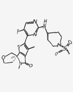 Cc1c(-c2nc(NC3CCN(S(C)(=O)=O)CC3)ncc2F)sc2c1C(=O)N(C)[C@]21CCOC1